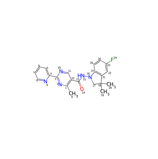 Cc1nc(-c2ccccn2)ncc1C(=O)NN1CC(C)(C)c2cc(F)ccc21